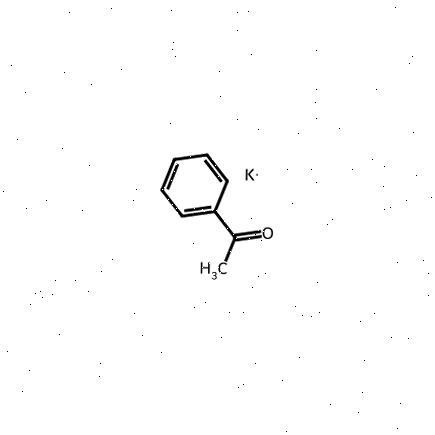 CC(=O)c1ccccc1.[K]